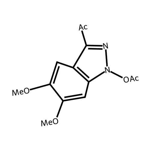 COc1cc2c(C(C)=O)nn(OC(C)=O)c2cc1OC